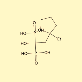 CCC1(CC(O)(P(=O)(O)O)P(=O)(O)O)CCCC1